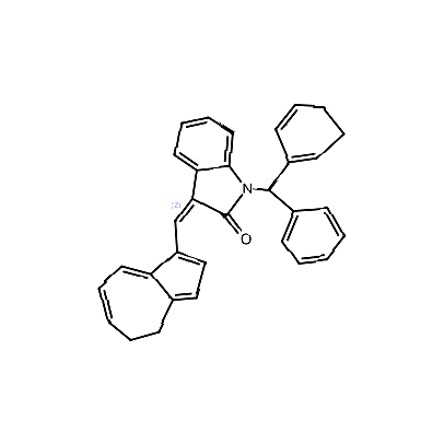 O=C1/C(=C\C2=CC=C3CCC=CC=C23)c2ccccc2N1C(C1=CCCC=C1)c1ccccc1